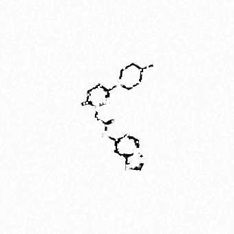 CC1CCN(c2ccc(=O)n(CC(=O)Nc3ccn4ncnc4c3)n2)CC1